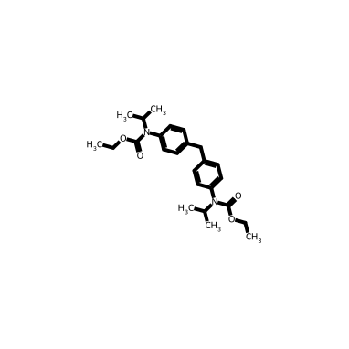 CCOC(=O)N(c1ccc(Cc2ccc(N(C(=O)OCC)C(C)C)cc2)cc1)C(C)C